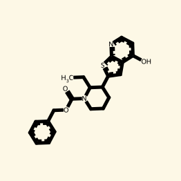 CCC1C(c2cc3c(O)ccnc3s2)CCCN1C(=O)OCc1ccccc1